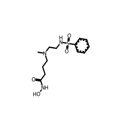 CN(CCCC(=O)NO)CCNS(=O)(=O)c1ccccc1